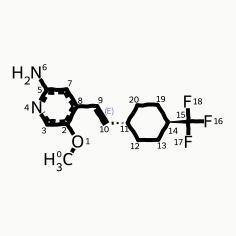 COc1cnc(N)cc1/C=C/[C@H]1CC[C@H](C(F)(F)F)CC1